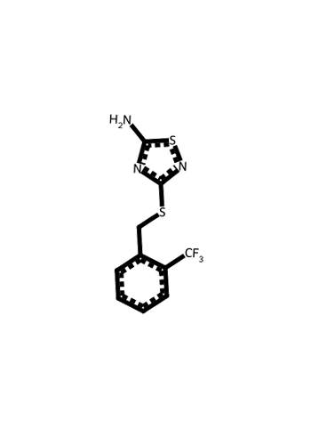 Nc1nc(SCc2ccccc2C(F)(F)F)ns1